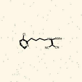 CNC(NCCCCc1ncccc1Cl)=C(C#N)C#N